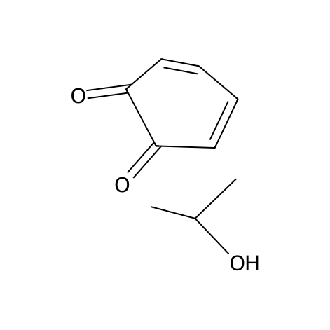 CC(C)O.O=C1C=CC=CC1=O